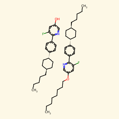 CCCCCCCCOc1cnc(-c2ccc([C@H]3CC[C@H](CCCCC)CC3)cc2)c(F)c1.CCCCC[C@H]1CC[C@H](c2ccc(-c3ncc(O)cc3F)cc2)CC1